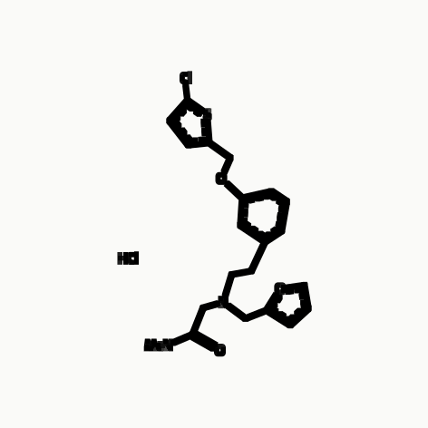 CNC(=O)CN(CCc1cccc(OCc2ccc(Cl)s2)c1)Cc1ccco1.Cl